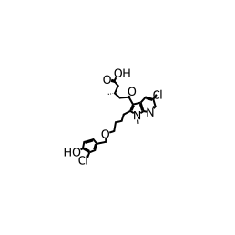 C[C@H](CC(=O)O)CC(=O)c1c(CCCCOCc2ccc(O)c(Cl)c2)n(C)c2ncc(Cl)cc12